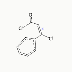 O=C(Cl)/C=C(/Cl)c1ccccc1